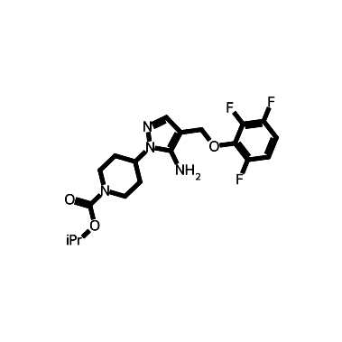 CC(C)OC(=O)N1CCC(n2ncc(COc3c(F)ccc(F)c3F)c2N)CC1